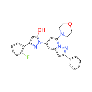 Oc1cc(-c2ccccc2F)nn1-c1cc(N2CCOCC2)n2nc(-c3ccccc3)cc2c1